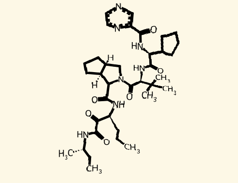 CCC[C@H](NC(=O)C1[C@H]2CCC[C@H]2CN1C(=O)[C@@H](NC(=O)[C@@H](NC(=O)c1cnccn1)C1CCCC1)C(C)(C)C)C(=O)C(=O)N[C@@H](C)CC